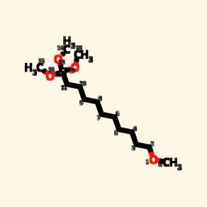 COCCCCCCCCCC[Si](OC)(OC)OC